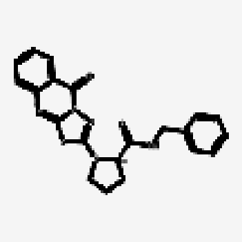 O=C(NCc1ccccc1)[C@H]1CCCN1c1nn2c(=O)c3ccccc3nc2s1